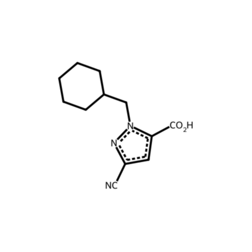 N#Cc1cc(C(=O)O)n(CC2CCCCC2)n1